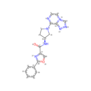 O=C(N[C@H]1CCN(c2nccn3cnnc23)C1)c1coc(-c2ccccc2)n1